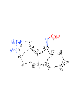 ON=C1C2=C3CNNC3CC=C2c2ccccc21